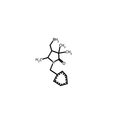 BCC1C(C)N(Cc2ccccc2)C(=O)C1(C)C